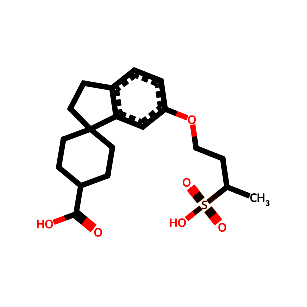 CC(CCOc1ccc2c(c1)C1(CC2)CCC(C(=O)O)CC1)S(=O)(=O)O